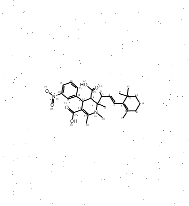 CC1=C(C=CC(C)C2(C)C(C(=O)O)C(c3cccc([N+](=O)[O-])c3)C(C(=O)O)=C(C)N2C)C(C)(C)CCC1